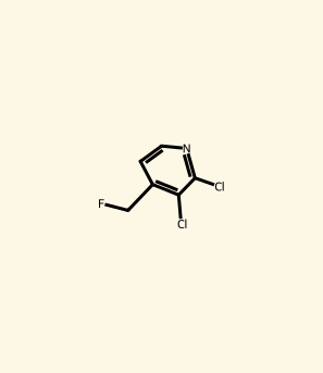 FCc1ccnc(Cl)c1Cl